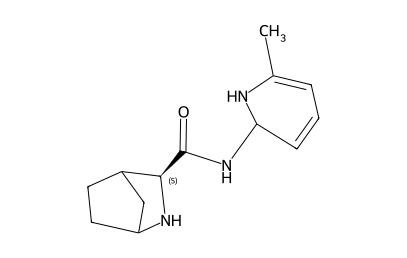 CC1=CC=CC(NC(=O)[C@H]2NC3CCC2C3)N1